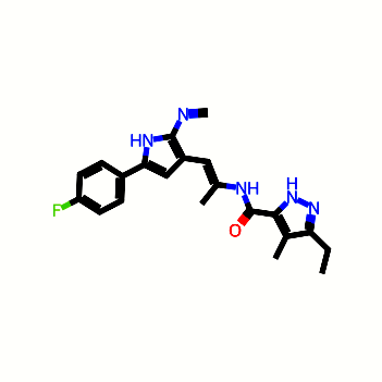 C=Nc1[nH]c(-c2ccc(F)cc2)cc1/C=C(\C)NC(=O)c1[nH]nc(CC)c1C